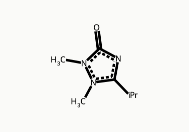 CC(C)c1nc(=O)n(C)n1C